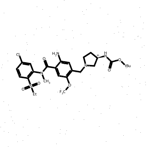 CCS(=O)(=O)c1ccc(Cl)cc1N(C)C(=O)c1cc(OC(F)(F)F)c(CN2CC[C@@H](NC(=O)OC(C)(C)C)C2)cc1N